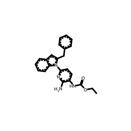 CCOC(=O)Nc1ccc(-n2c(Cc3ccccc3)[c]c3ccccc32)nc1N